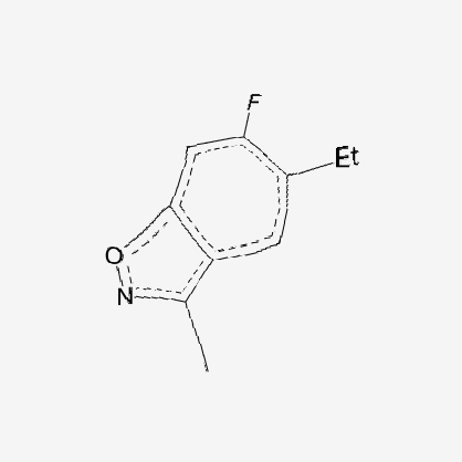 CCc1cc2c(C)noc2cc1F